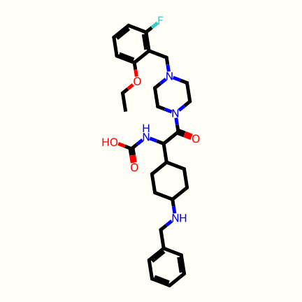 CCOc1cccc(F)c1CN1CCN(C(=O)C(NC(=O)O)C2CCC(NCc3ccccc3)CC2)CC1